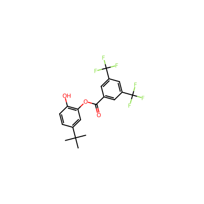 CC(C)(C)c1ccc(O)c(OC(=O)c2cc(C(F)(F)F)cc(C(F)(F)F)c2)c1